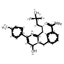 CNC(=O)c1cccc(CN2C(CCCC(C)(F)F)=NC(c3ccc(C)cc3)=CC2O)c1